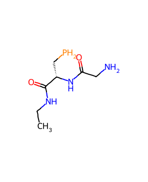 CCNC(=O)[C@H](CP)NC(=O)CN